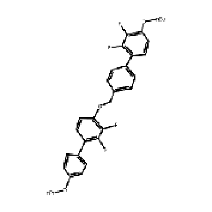 CCCCOc1ccc(-c2ccc(COc3ccc(-c4ccc(OCCC)cc4)c(F)c3F)cc2)c(F)c1F